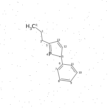 CCCC1=P[C](c2ccccc2)C=C1